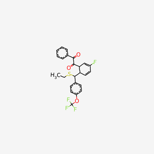 CCSC(c1ccc(OC(F)(F)F)cc1)C1C=CC(F)=CC1C(=O)C(=O)c1ccccc1